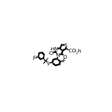 CC(C)(Sc1ccc(F)c(-n2c(=O)[nH]c3csc(C(=O)O)c3c2=O)c1)c1cccc(F)c1